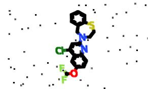 FC(F)Oc1ccc2nc(N3CCSc4ccccc4C3)cc(Cl)c2c1